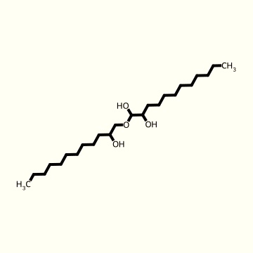 CCCCCCCCCCC(O)COC(O)C(O)CCCCCCCCCC